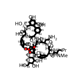 CNC(CC(C)C)C(=O)NC1C(=O)NC(CC(N)=O)C(=O)NC2C(=O)NC3C(=O)NC(C(=O)NC(C(=O)O)c4cc(O)cc(O)c4-c4cc3ccc4O)C(O)c3ccc(c(Cl)c3)Oc3cc2cc(c3OC2OC(CO)C(O)C(O)C2OC2CC(C)(C)C(O)C(C)O2)Oc2ccc(cc2Cl)C1O